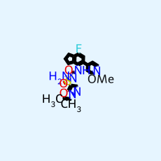 COc1cc(-c2cc(F)c3c(c2NC(=O)N=S(N)(=O)c2cnn4c2OC(C)(C)C4)CCC3)ccn1